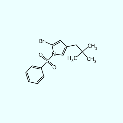 CC(C)(C)Cc1cc(Br)n(S(=O)(=O)c2ccccc2)c1